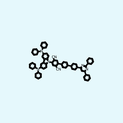 N#Cc1cc(-n2c3ccc(N(c4ccccc4)c4ccccc4)cc3c3cc(N(c4ccccc4)c4ccccc4)ccc32)c(C#N)cc1-c1ccc(-c2ccc(-c3cc(-c4ccccc4)nc(-c4ccccc4)n3)cc2)cc1